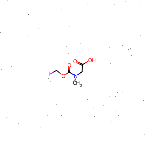 CN(CC(=O)O)C(=O)OCI